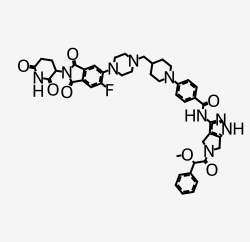 COC(C(=O)N1Cc2[nH]nc(NC(=O)c3ccc(N4CCC(CN5CCN(c6cc7c(cc6F)C(=O)N(C6CCC(=O)NC6=O)C7=O)CC5)CC4)cc3)c2C1)c1ccccc1